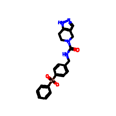 O=C(NCc1ccc(S(=O)(=O)c2ccccc2)cc1)N1CCc2[nH]ncc2C1